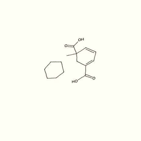 C1CCCCC1.CC1(C(=O)O)C=CC=C(C(=O)O)C1